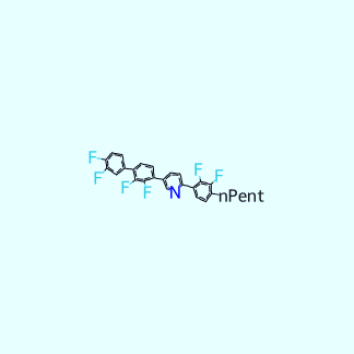 CCCCCc1ccc(-c2ccc(-c3ccc(-c4ccc(F)c(F)c4)c(F)c3F)cn2)c(F)c1F